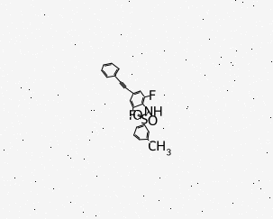 Cc1cccc(S(=O)(=O)Nc2c(F)cc(C#Cc3ccccc3)cc2F)c1